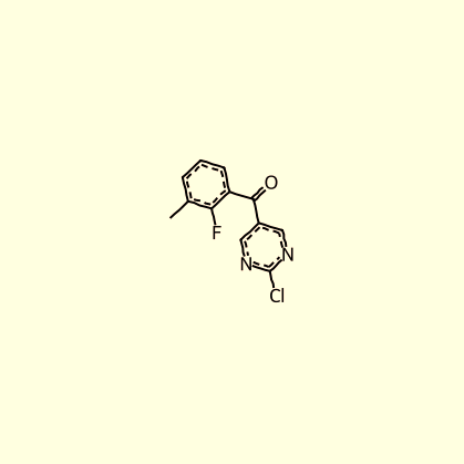 Cc1cccc(C(=O)c2cnc(Cl)nc2)c1F